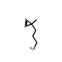 CC1(CCCN)N=N1